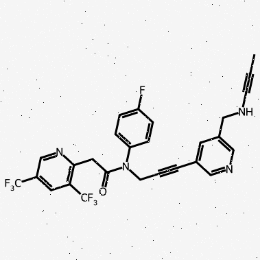 CC#CNCc1cncc(C#CCN(C(=O)Cc2ncc(C(F)(F)F)cc2C(F)(F)F)c2ccc(F)cc2)c1